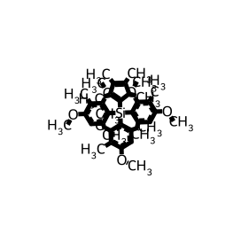 COc1cc(C)c([Si](C2=C(C)C(C)=C(C)C2C)(c2c(C)cc(OC)c(C)c2OC)c2c(C)cc(OC)c(C)c2OC)c(OC)c1C